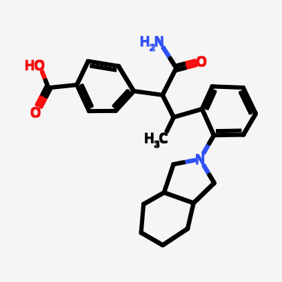 CC(c1ccccc1N1CC2CCCCC2C1)C(C(N)=O)c1ccc(C(=O)O)cc1